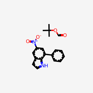 CC(C)(C)OC=O.O=[N+]([O-])c1cc(-c2ccccc2)c2[nH]ccc2c1